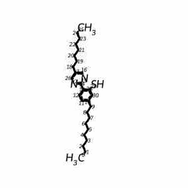 CCCCCCCCCCc1ccc(-c2ncc(CCCCCCCC)cn2)c(S)c1